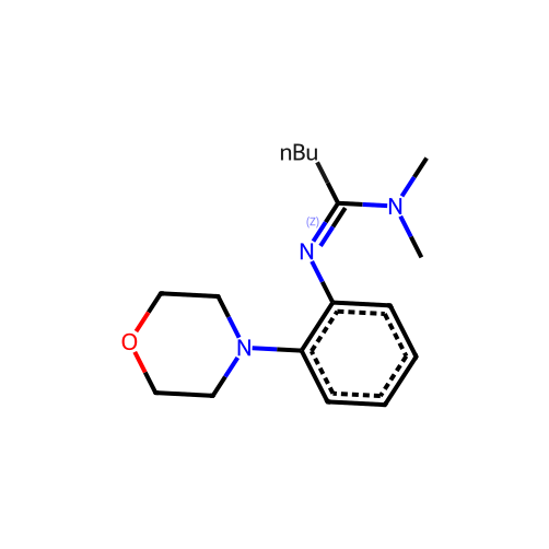 CCCC/C(=N/c1ccccc1N1CCOCC1)N(C)C